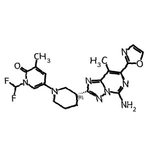 Cc1cc(N2CCC[C@@H](c3nc4c(C)c(-c5ncco5)nc(N)n4n3)C2)cn(C(F)F)c1=O